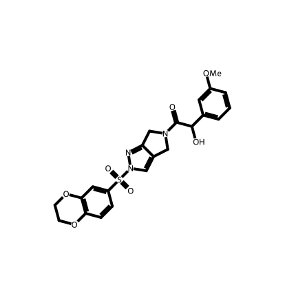 COc1cccc(C(O)C(=O)N2Cc3cn(S(=O)(=O)c4ccc5c(c4)OCCO5)nc3C2)c1